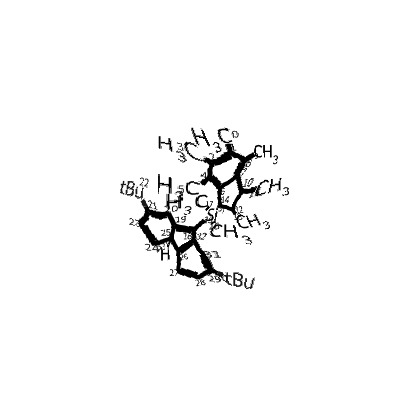 Cc1c(C)c(C)c2c(c1C)C(C)C(C)[C@@H]2[Si](C)(C)C1=C2C=C(C(C)(C)C)C=C[C@@H]2c2ccc(C(C)(C)C)cc21